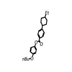 CCCCOc1ccc(OC(=O)c2ccc(C3CCC(CC)CC3)cc2)cc1